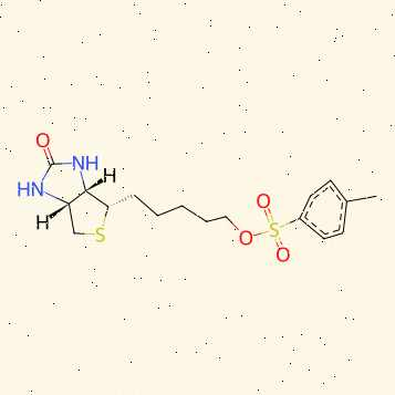 Cc1ccc(S(=O)(=O)OCCCCC[C@@H]2SC[C@@H]3NC(=O)N[C@@H]32)cc1